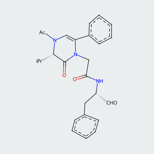 CC(=O)N1C=C(c2ccccc2)N(CC(=O)N[C@H](C=O)Cc2ccccc2)C(=O)[C@@H]1C(C)C